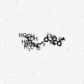 CCN(CC(O)C(O)C(O)C(O)CO)C(=O)CCCSc1ccc(Cl)c(COC2(c3cnccc3-c3ccccc3OC3CC3)CC2)c1